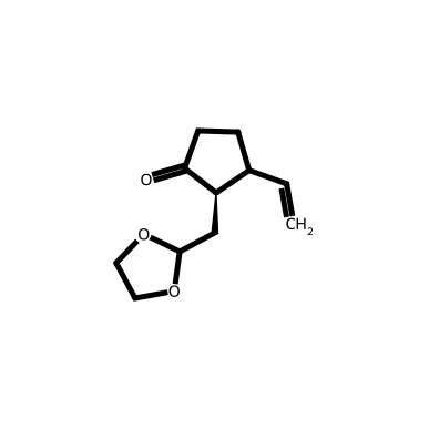 C=CC1CCC(=O)[C@@H]1CC1OCCO1